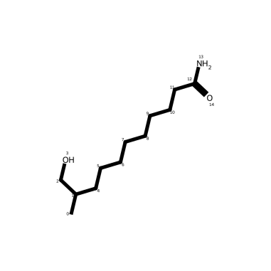 CC(CO)CCCCCCCCC(N)=O